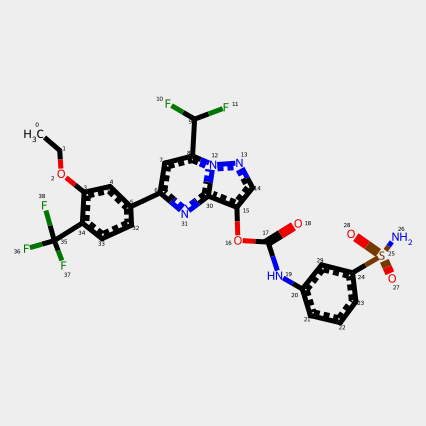 CCOc1cc(-c2cc(C(F)F)n3ncc(OC(=O)Nc4cccc(S(N)(=O)=O)c4)c3n2)ccc1C(F)(F)F